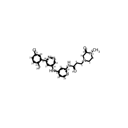 CN1CCN(CCC(=O)Nc2cc(Nc3cnnc(-c4cc(Cl)ccc4F)c3)ccn2)CC1=O